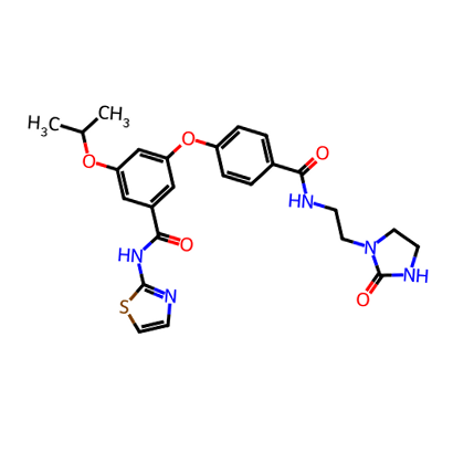 CC(C)Oc1cc(Oc2ccc(C(=O)NCCN3CCNC3=O)cc2)cc(C(=O)Nc2nccs2)c1